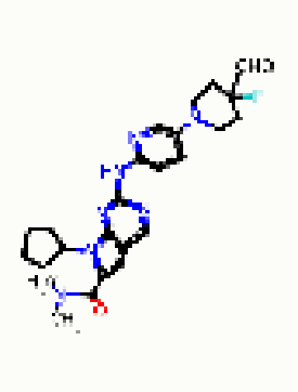 CN(C)C(=O)c1cc2cnc(Nc3ccc(N4CCC(F)(C=O)CC4)cn3)nc2n1C1CCCC1